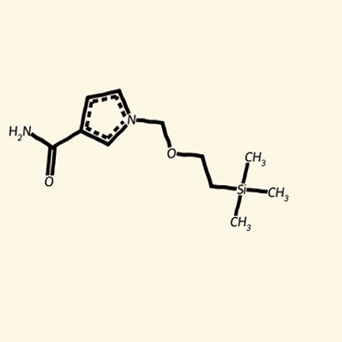 C[Si](C)(C)CCOCn1ccc(C(N)=O)c1